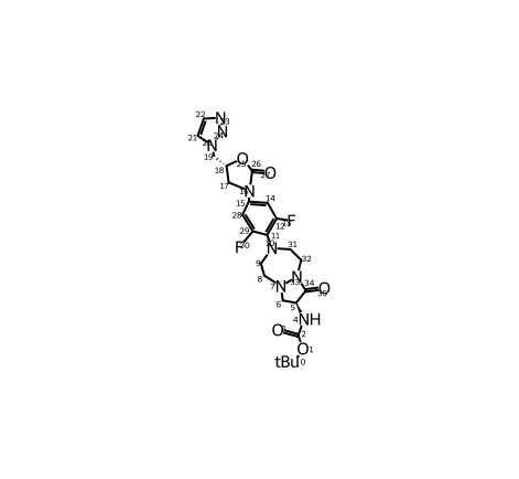 CC(C)(C)OC(=O)N[C@H]1CN2CCN(c3c(F)cc(N4C[C@H](Cn5ccnn5)OC4=O)cc3F)CCN2C1=O